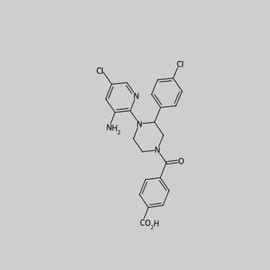 Nc1cc(Cl)cnc1N1CCN(C(=O)c2ccc(C(=O)O)cc2)CC1c1ccc(Cl)cc1